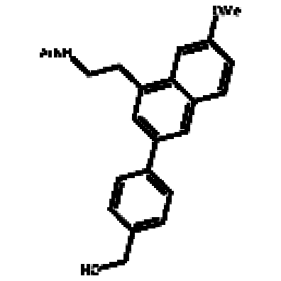 COc1ccc2cc(-c3ccc(CO)cc3)cc(CCNC(C)=O)c2c1